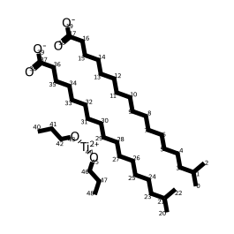 CC(C)CCCCCCCCCCCCCCC(=O)[O-].CC(C)CCCCCCCCCCCCCCC(=O)[O-].CCC[O][Ti+2][O]CCC